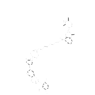 C[C@@H](Oc1cc(-c2cnn(C3CCN(CCCCCCCCNc4cccc5c4CN(C4CCC(=O)NC4=O)C5=O)CC3)c2)cnc1N)c1c(Cl)ccc(F)c1Cl